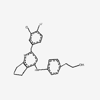 OCCc1ccc(Nc2cc(-c3ccc(Cl)c(Cl)c3)nc3c2CCC3)cc1